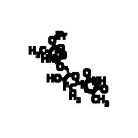 Cc1cn([C@H](C)O[C@@H](CO[PH](=O)N[C@@H](C)C(=O)OC(C)C)[C@H](O)F)c(=O)[nH]c1=O